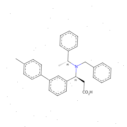 Cc1ccc(-c2cccc([C@H](CC(=O)O)N(Cc3ccccc3)[C@H](C)c3ccccc3)c2)cc1